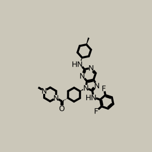 CN1CCN(C(=O)[C@H]2CC[C@@H](n3c(Nc4c(F)cccc4F)nc4cnc(N[C@H]5CC[C@H](C)CC5)nc43)CC2)CC1